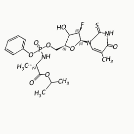 Cc1cn([C@H]2O[C@@H](COP(=O)(N[C@@H](C)C(=O)OC(C)C)Oc3ccccc3)C(O)[C@H]2F)c(=S)[nH]c1=O